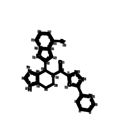 O=C(c1nnc(-c2ccccn2)o1)N1CCc2[nH]cnc2C1c1cc2c(Br)cccn2n1